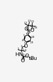 CC(C)(COc1ccc(B2OC(C)(C)C(C)(C)O2)cc1)NC(=O)OC(C)(C)C